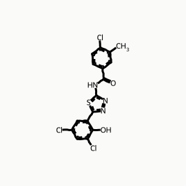 Cc1cc(C(=O)Nc2nnc(-c3cc(Cl)cc(Cl)c3O)s2)ccc1Cl